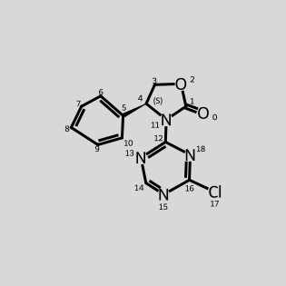 O=C1OC[C@H](c2ccccc2)N1c1ncnc(Cl)n1